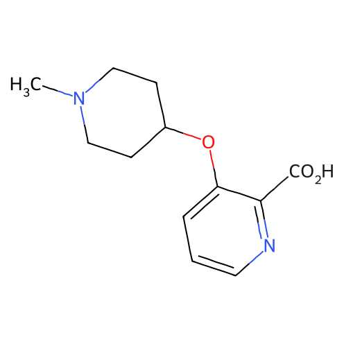 CN1CCC(Oc2cccnc2C(=O)O)CC1